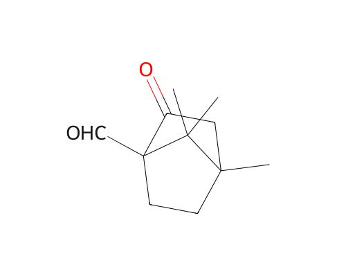 CC12CCC(C=O)(C(=O)C1)C2(C)C